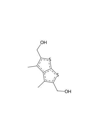 Cc1c(CO)sc2sc(CO)c(C)c12